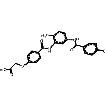 COC(=O)COc1ccc(C(=O)Nc2cc(NC(=O)c3ccc(C#N)cc3)ccc2C)cc1